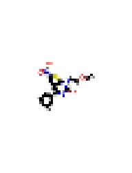 CCOCCn1c(=O)nc(-c2ccccc2)c2cc([N+](=O)[O-])sc21